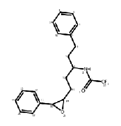 O=C(NC(CCc1ccccc1)CCC1OC1c1ccccc1)C(F)(F)F